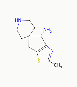 Cc1nc2c(s1)CC1(CCNCC1)[C@@H]2N